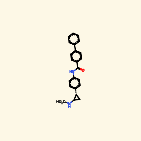 O=C(O)N[C@@H]1C[C@H]1c1ccc(NC(=O)c2ccc(-c3ccccc3)cc2)cc1